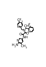 Cc1cc(NC(=O)C(=O)N(Cc2ccc(C(F)(F)F)cn2)[C@@H](C)c2ncccc2F)cnc1N